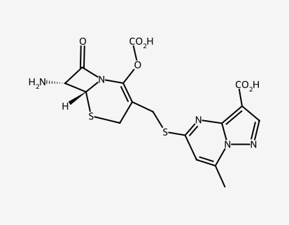 Cc1cc(SCC2=C(OC(=O)O)N3C(=O)[C@@H](N)[C@H]3SC2)nc2c(C(=O)O)cnn12